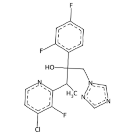 CC(c1nccc(Cl)c1F)C(O)(Cn1cncn1)c1ccc(F)cc1F